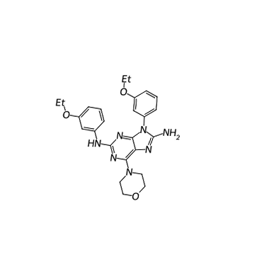 CCOc1cccc(Nc2nc(N3CCOCC3)c3nc(N)n(-c4cccc(OCC)c4)c3n2)c1